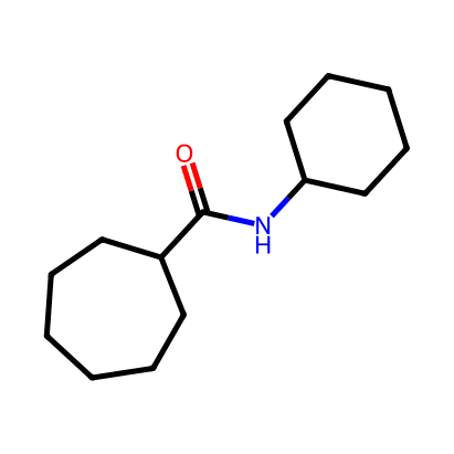 O=C(NC1CCCCC1)C1CCCCCC1